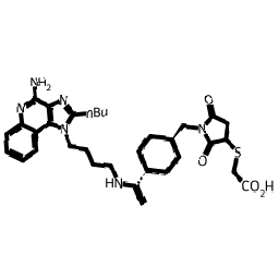 C=C(NCCCCn1c(CCCC)nc2c(N)nc3ccccc3c21)[C@H]1CC[C@H](CN2C(=O)CC(SCC(=O)O)C2=O)CC1